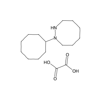 C1CCCC(N2CCCCCCN2)CCC1.O=C(O)C(=O)O